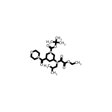 CCOC(=O)C(=O)N(CC(C)C)C1CC(C(=O)N2CCOCC2)CN(C(=O)OC(C)(C)C)C1